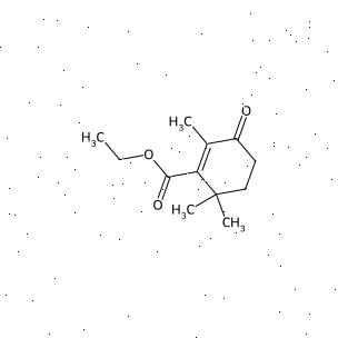 CCOC(=O)C1=C(C)C(=O)CCC1(C)C